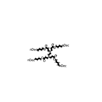 CCCCCCCCCCCCCCOC(=O)CCN(CCC(=O)OCCCCCCCCCCCCCC)CCN(CCC(=O)OCCCCCCCCCCCCCC)CCC(=O)OCCCCCCCCCCCCCC